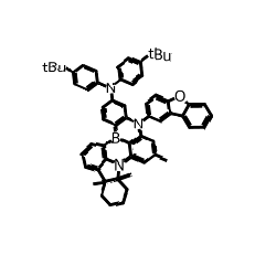 Cc1cc2c3c(c1)N1c4c(cccc4C4(C)CCCCC14C)B3c1ccc(N(c3ccc(C(C)(C)C)cc3)c3ccc(C(C)(C)C)cc3)cc1N2c1ccc2oc3ccccc3c2c1